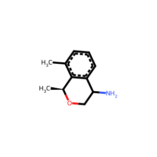 Cc1cccc2c1[C@H](C)OCC2N